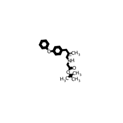 C[C@@H](CNCC(=O)OC(C)(C)C)Cc1ccc(Oc2ccccc2)cc1